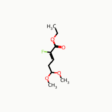 CCOC(=O)/C(F)=C/CC(OC)OC